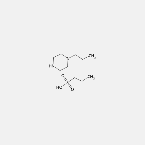 CCCN1CCNCC1.CCCS(=O)(=O)O